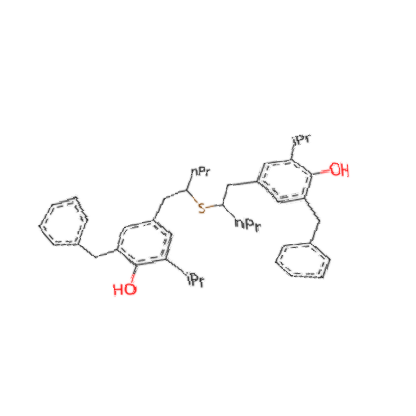 CCCC(Cc1cc(Cc2ccccc2)c(O)c(C(C)C)c1)SC(CCC)Cc1cc(Cc2ccccc2)c(O)c(C(C)C)c1